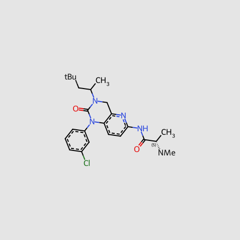 CN[C@@H](C)C(=O)Nc1ccc2c(n1)CN(C(C)CC(C)(C)C)C(=O)N2c1cccc(Cl)c1